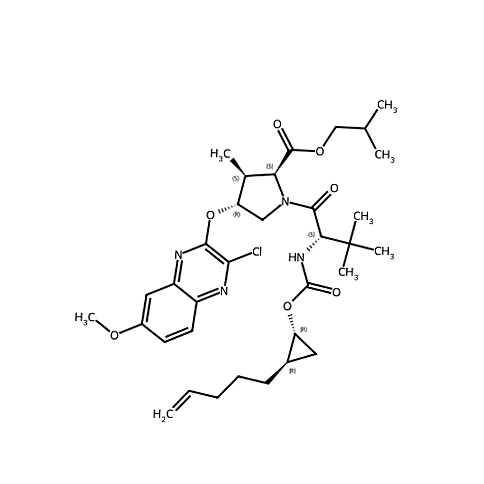 C=CCCC[C@@H]1C[C@H]1OC(=O)N[C@H](C(=O)N1C[C@H](Oc2nc3cc(OC)ccc3nc2Cl)[C@@H](C)[C@H]1C(=O)OCC(C)C)C(C)(C)C